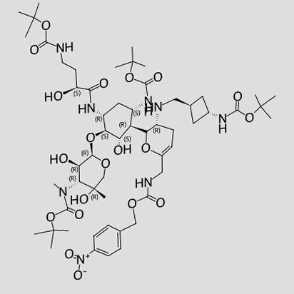 CN(C(=O)OC(C)(C)C)[C@@H]1[C@@H](O)[C@@H](O[C@@H]2[C@@H](O)[C@H](C3OC(CNC(=O)OCc4ccc([N+](=O)[O-])cc4)=CC[C@H]3NC[C@H]3C[C@H](NC(=O)OC(C)(C)C)C3)[C@@H](NC(=O)OC(C)(C)C)C[C@H]2NC(=O)[C@@H](O)CCNC(=O)OC(C)(C)C)OC[C@]1(C)O